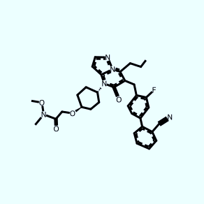 CCCc1c(Cc2ccc(-c3ccccc3C#N)cc2F)c(=O)n([C@H]2CC[C@H](OCC(=O)N(C)OC)CC2)c2ccnn12